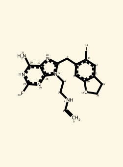 C=CNCCn1c(Cc2cc3c(cc2I)CCO3)nc2c(N)nc(F)nc21